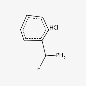 Cl.FC(P)c1ccccc1